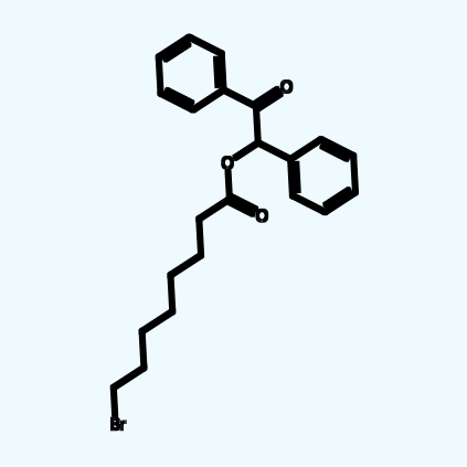 O=C(CCCCCCCBr)OC(C(=O)c1ccccc1)c1ccccc1